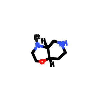 CCN1CCO[C@H]2CCNC[C@H]21